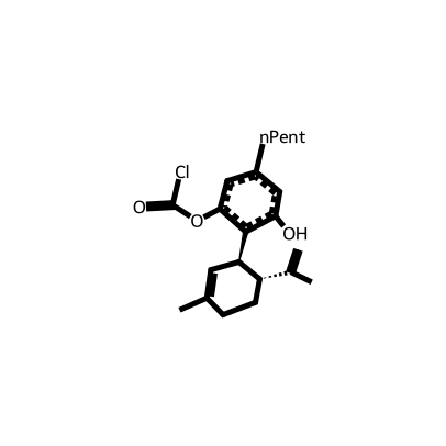 C=C(C)[C@@H]1CCC(C)=C[C@H]1c1c(O)cc(CCCCC)cc1OC(=O)Cl